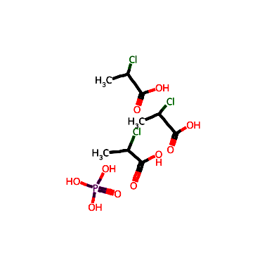 CC(Cl)C(=O)O.CC(Cl)C(=O)O.CC(Cl)C(=O)O.O=P(O)(O)O